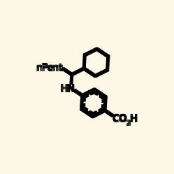 CCCCCC(Nc1ccc(C(=O)O)cc1)C1CCCCC1